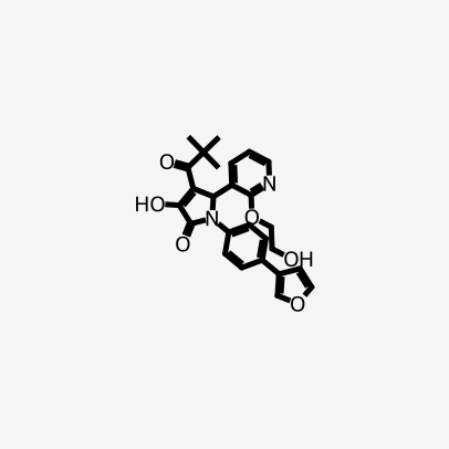 CC(C)(C)C(=O)C1=C(O)C(=O)N(c2ccc(-c3ccoc3)cc2)C1c1cccnc1OCCO